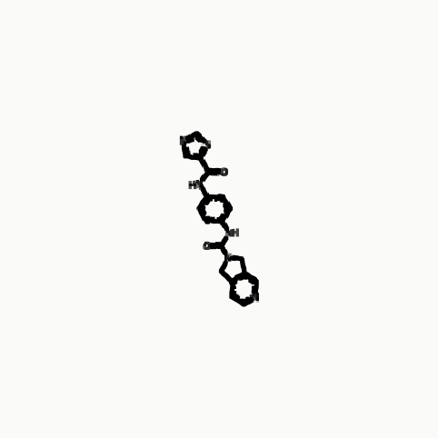 O=C(Nc1ccc(NC(=O)N2Cc3ccncc3C2)cc1)c1cncs1